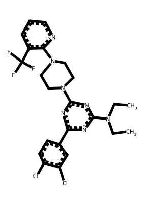 CCN(CC)c1nc(-c2ccc(Cl)c(Cl)c2)nc(N2CCN(c3ncccc3C(F)(F)F)CC2)n1